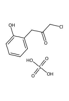 O=C(CCl)Cc1ccccc1O.O=S(=O)(O)O